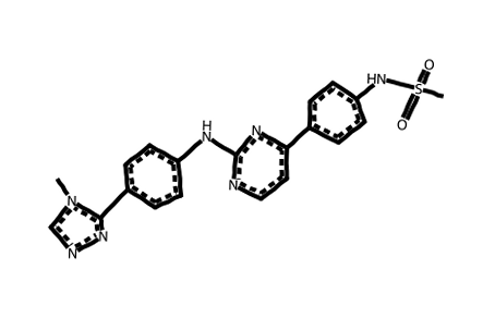 Cn1cnnc1-c1ccc(Nc2nccc(-c3ccc(NS(C)(=O)=O)cc3)n2)cc1